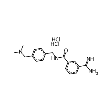 CN(C)Cc1ccc(CNC(=O)c2cccc(C(=N)N)c2)cc1.Cl.Cl